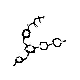 Cc1cc(Nc2cc(N3CCC(N4CCN(C)CC4)CC3)nc(Sc3ccc(NC(=O)CC(F)(F)F)cc3)n2)[nH]n1